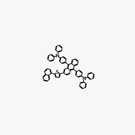 c1ccc(N(c2ccccc2)c2ccc(-c3c4ccccc4c(-c4ccc(N(c5ccccc5)c5ccccc5)cc4)c4cc(-c5ccc(-c6cccc7ccccc67)s5)ccc34)cc2)cc1